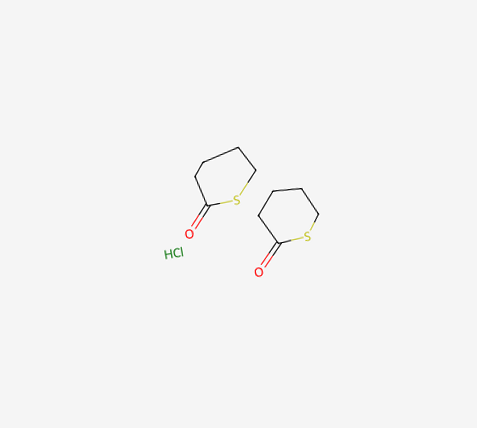 Cl.O=C1CCCCS1.O=C1CCCCS1